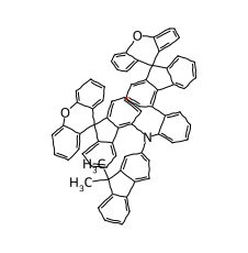 CC1(C)c2ccccc2-c2ccc(N(c3ccccc3-c3cccc4c3-c3ccccc3C43c4ccccc4Oc4ccccc43)c3cccc4c3-c3ccccc3C43c4ccccc4Oc4ccccc43)cc21